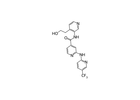 O=C(Nc1cnccc1CCO)c1ccnc(Nc2ccc(C(F)(F)F)cn2)c1